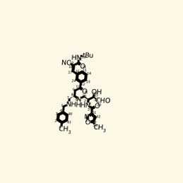 Cc1ccc(CNC[C@H](CC(=O)c2cccc(C=C(C#N)C(=O)NC(C)(C)C)c2)NC[C@H](NC(=O)c2cc(C)on2)[C@@H](O)C=O)cc1